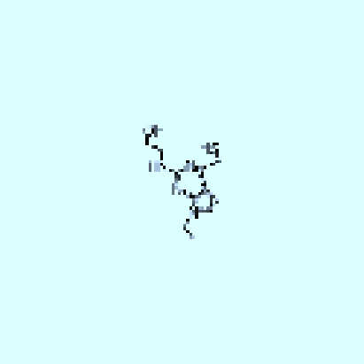 CCn1cnc2c(CS)nc(NCCO)nc21